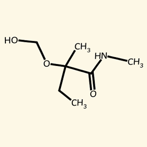 CCC(C)(OCO)C(=O)NC